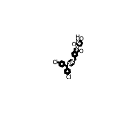 O=C1CCC(N2Cc3ccc(CN4CCN(C(c5ccc(Cl)cc5)c5ccc(Cl)cc5)CC4)cc3C2=O)C(=O)N1